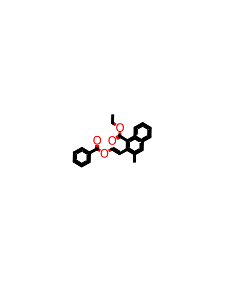 CCOC(=O)c1c(C=COC(=O)c2ccccc2)c(C)cc2ccccc12